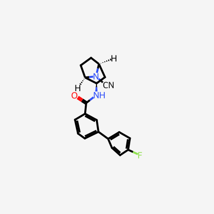 N#CN1[C@H]2CC[C@@H]1[C@H](NC(=O)c1cccc(-c3ccc(F)cc3)c1)C2